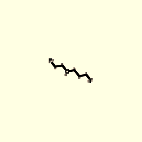 FCCCOCCF